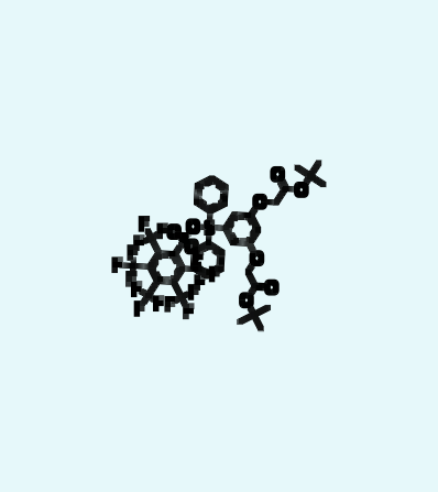 CC(C)(C)OC(=O)COc1cc(OCC(=O)OC(C)(C)C)cc(S(OS(=O)(=O)c2c(C(F)(F)F)c(C(F)(F)F)c(C(F)(F)F)c(C(F)(F)F)c2C(F)(F)F)(c2ccccc2)c2ccccc2)c1